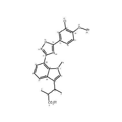 CCOC(=O)C(C)C(C)c1cn(C)c2c(-c3noc(-c4ccc(OC(C)C)c(Cl)c4)n3)cccc12